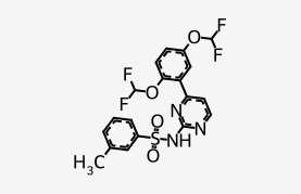 Cc1cccc(S(=O)(=O)Nc2nccc(-c3cc(OC(F)F)ccc3OC(F)F)n2)c1